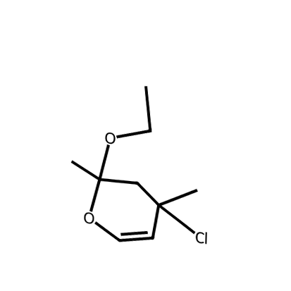 CCOC1(C)CC(C)(Cl)C=CO1